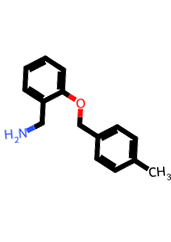 Cc1ccc(COc2ccccc2CN)cc1